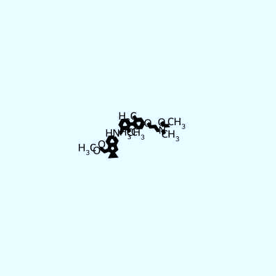 CCC(=O)N(C)CCCOc1cc(C)c(-c2cccc(CNc3ccc4c(c3)CC3(CC3)C4CC(=O)OC)c2C)c(C)c1